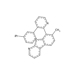 Cc1ccc2c(oc3ncccc32)c1-c1ncccc1-c1cccc(C(C)C)c1